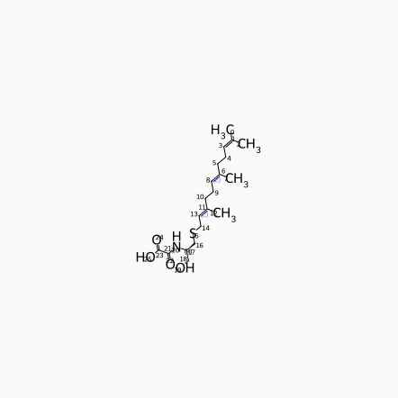 CC(C)=CCC/C(C)=C/CC/C(C)=C/CSC[C@@H](CO)NC(=O)C(=O)O